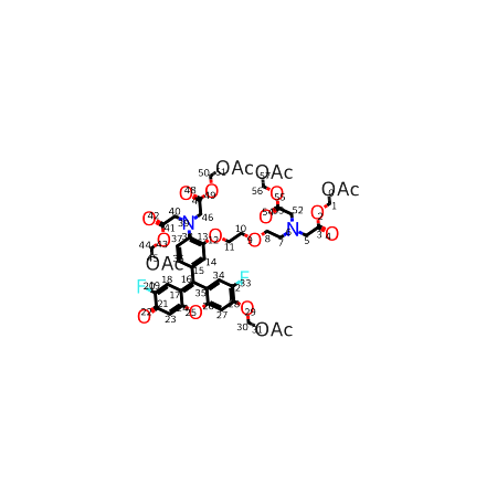 CC(=O)OCOC(=O)CN(CCOCCOc1cc(-c2c3cc(F)c(=O)cc-3oc3cc(OCOC(C)=O)c(F)cc23)ccc1N(CC(=O)OCOC(C)=O)CC(=O)OCOC(C)=O)CC(=O)OCOC(C)=O